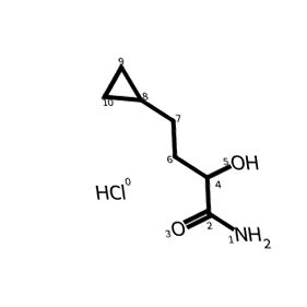 Cl.NC(=O)C(O)CCC1CC1